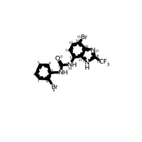 O=C(Nc1ccccc1Br)Nc1ccc(Br)c2nc(C(F)(F)F)[nH]c12